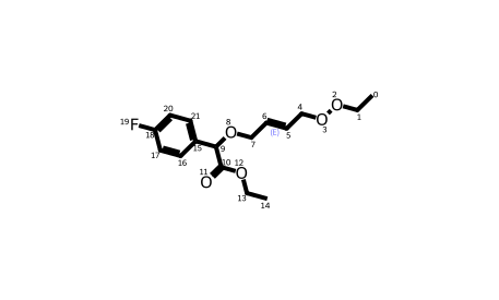 CCOOC/C=C/COC(C(=O)OCC)c1ccc(F)cc1